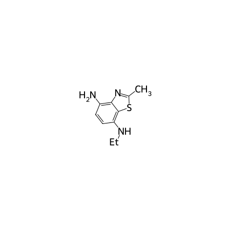 CCNc1ccc(N)c2nc(C)sc12